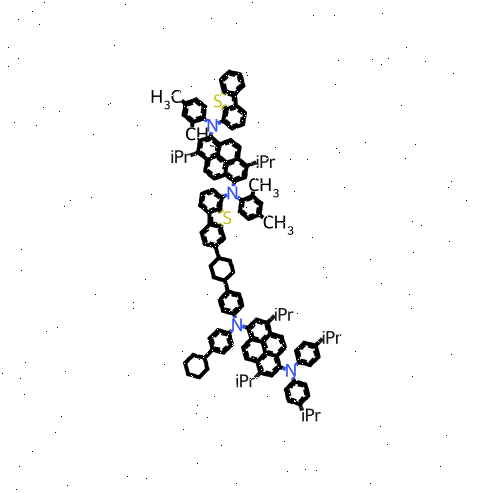 Cc1ccc(N(c2cc(C(C)C)c3ccc4c(N(c5ccc(C)cc5C)c5cccc6c5sc5cc(C7CCC(c8ccc(N(c9ccc(C%10CCCCC%10)cc9)c9cc(C(C)C)c%10ccc%11c(N(c%12ccc(C(C)C)cc%12)c%12ccc(C(C)C)cc%12)cc(C(C)C)c%12ccc9c%10c%12%11)cc8)CC7)ccc56)cc(C(C)C)c5ccc2c3c54)c2cccc3c2sc2ccccc23)c(C)c1